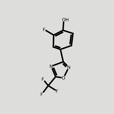 Oc1ccc(-c2noc(C(F)(F)F)n2)cc1F